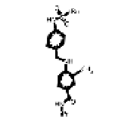 Cc1cc(C(=O)NC(C)C)ccc1NCc1ccc(NS(=O)(=O)C(C)(C)C)cc1